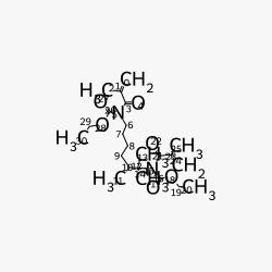 C=C(C)C(=O)N(CCCCC(C)C(C)(C)N(C(=O)OCC)C(=O)C(=C)C)C(=O)OCC